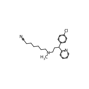 CN(CCCCCCC#N)CCC(c1ccc(Cl)cc1)c1ccccn1